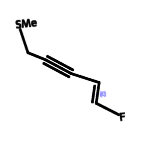 CSCC#C/C=C/F